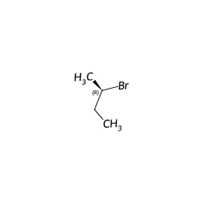 CC[C@@H](C)Br